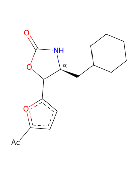 CC(=O)c1ccc(C2OC(=O)N[C@H]2CC2CCCCC2)o1